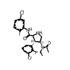 CCN(C(C)=O)[C@@H]1CNC(C(=O)Nc2cc(Cl)ccc2I)[C@H]1c1cccc(Cl)c1F